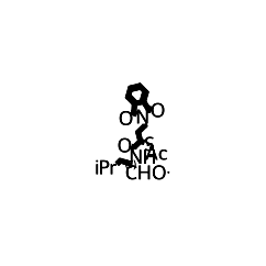 CC(=O)SC(CCN1C(=O)c2ccccc2C1=O)C(=O)N[C@H]([C]=O)CC(C)C